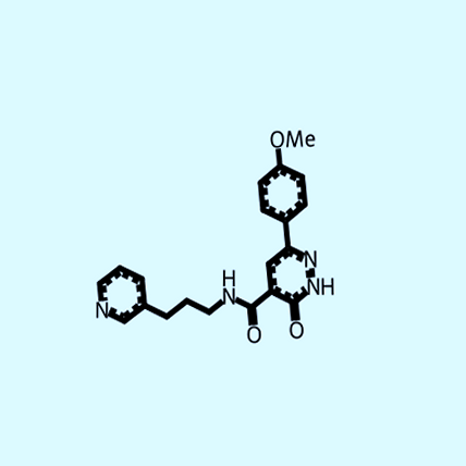 COc1ccc(-c2cc(C(=O)NCCCc3cccnc3)c(=O)[nH]n2)cc1